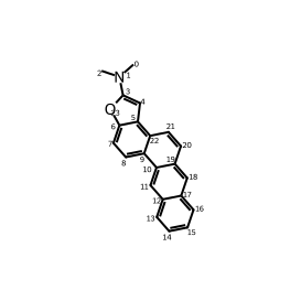 CN(C)c1cc2c(ccc3c4cc5ccccc5cc4ccc23)o1